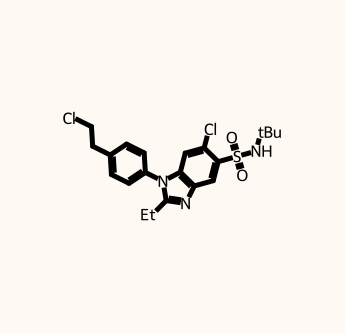 CCc1nc2cc(S(=O)(=O)NC(C)(C)C)c(Cl)cc2n1-c1ccc(CCCl)cc1